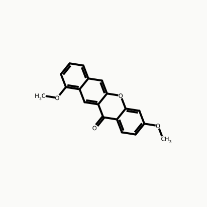 COc1ccc2c(=O)c3cc4c(OC)cccc4cc3oc2c1